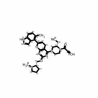 C#CC(=O)N1CCN(c2nc(OC[C@@H]3CCCN3C)nc3c2CC=C(c2c(C)ccc4[nH]ncc24)O3)C[C@@H]1CC#N